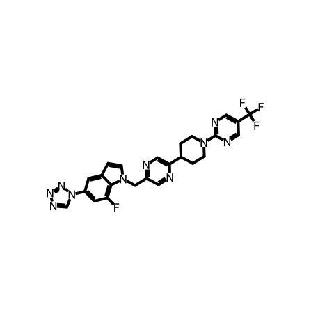 Fc1cc(-n2cnnn2)cc2ccn(Cc3cnc(C4CCN(c5ncc(C(F)(F)F)cn5)CC4)cn3)c12